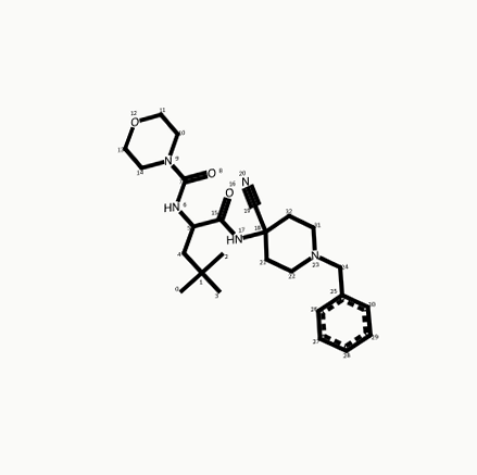 CC(C)(C)CC(NC(=O)N1CCOCC1)C(=O)NC1(C#N)CCN(Cc2ccccc2)CC1